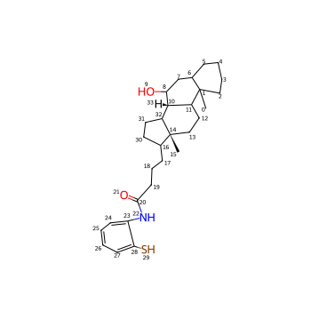 CC12CCCCC1CC(O)[C@@H]1C2CC[C@]2(C)C(CCCC(=O)Nc3ccccc3S)CCC12